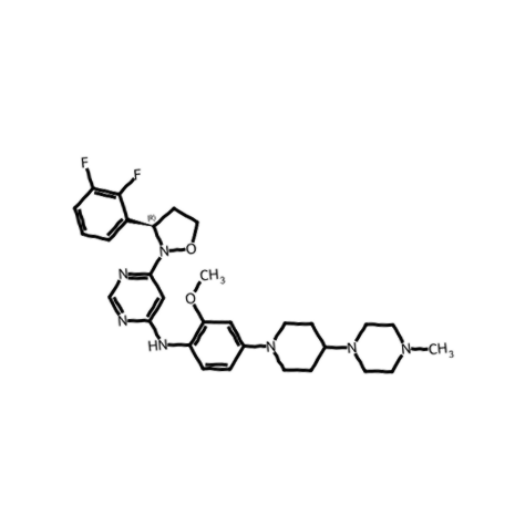 COc1cc(N2CCC(N3CCN(C)CC3)CC2)ccc1Nc1cc(N2OCC[C@@H]2c2cccc(F)c2F)ncn1